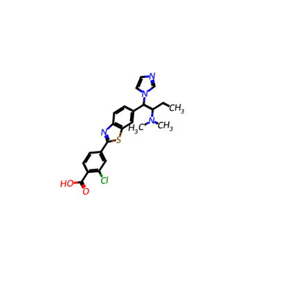 CCC(C(c1ccc2nc(-c3ccc(C(=O)O)c(Cl)c3)sc2c1)n1ccnc1)N(C)C